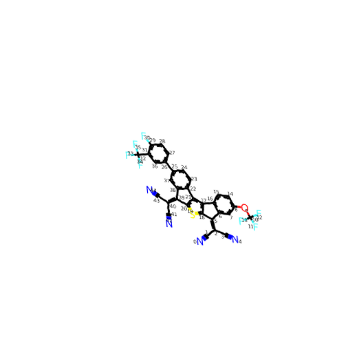 N#CC(C#N)=C1c2cc(OC(F)(F)F)ccc2-c2c1sc1c2-c2ccc(-c3ccc(F)c(C(F)(F)F)c3)cc2C1=C(C#N)C#N